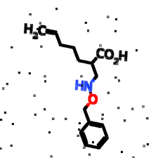 C=CCCCC(CNOCc1ccccc1)C(=O)O